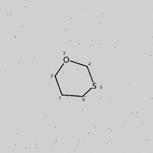 [CH]1CCOCS1